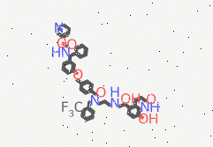 O=C(N[C@@H](c1ccccc1)c1cccc(OCc2ccc(C(=O)N(CCCNCC(O)c3ccc(O)c4[nH]c(=O)ccc34)Cc3ccccc3C(F)(F)F)cc2)c1)OC1CN2CCC1CC2